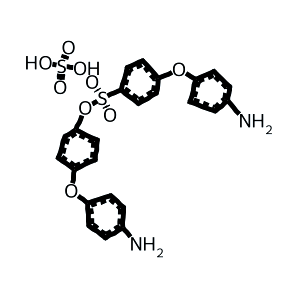 Nc1ccc(Oc2ccc(OS(=O)(=O)c3ccc(Oc4ccc(N)cc4)cc3)cc2)cc1.O=S(=O)(O)O